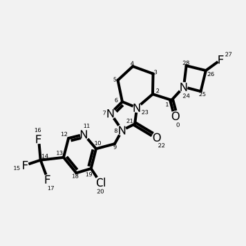 O=C(C1CCCc2nn(Cc3ncc(C(F)(F)F)cc3Cl)c(=O)n21)N1CC(F)C1